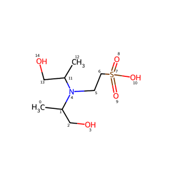 CC(CO)N(CCS(=O)(=O)O)C(C)CO